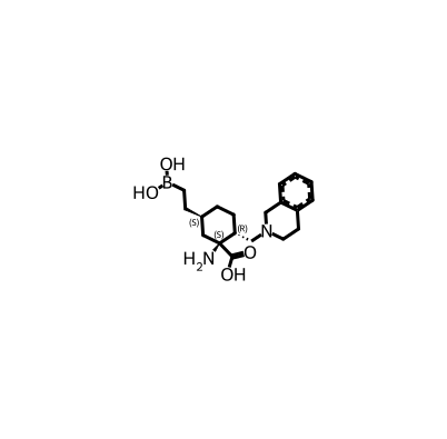 N[C@@]1(C(=O)O)C[C@@H](CCB(O)O)CC[C@@H]1CN1CCc2ccccc2C1